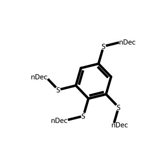 CCCCCCCCCCSc1cc(SCCCCCCCCCC)c(SCCCCCCCCCC)c(SCCCCCCCCCC)c1